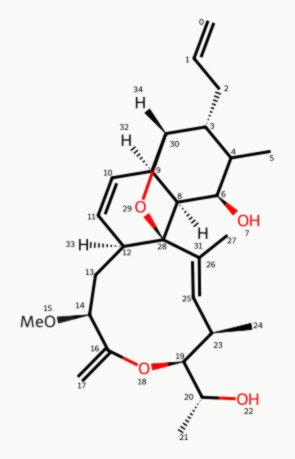 C=CC[C@@H]1C(C)[C@@H](O)[C@@H]2[C@H]3C=C[C@@H]4C[C@H](OC)C(=C)O[C@H]([C@@H](C)O)[C@H](C)/C=C(\C)[C@@]24O[C@H]31